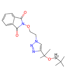 CC(C)(C)[SiH2]OC(C)(C)c1cn(CCON2C(=O)c3ccccc3C2=O)nn1